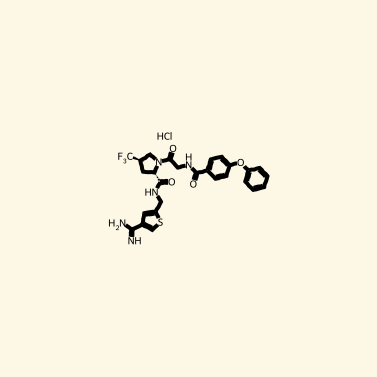 Cl.N=C(N)c1csc(CNC(=O)[C@@H]2C[C@@H](C(F)(F)F)CN2C(=O)CNC(=O)c2ccc(Oc3ccccc3)cc2)c1